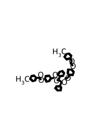 Cc1ccc(OCOc2ccc(OCOC(c3ccccc3)C(OC(=O)c3ccc(OC(=O)c4ccc(C)cc4)cc3)c3ccccc3)cc2)cc1